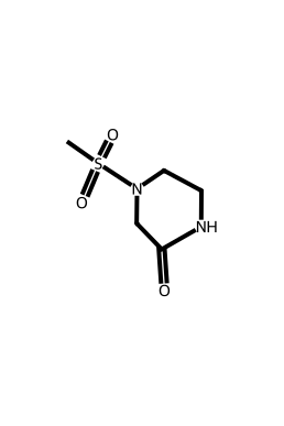 CS(=O)(=O)N1CCNC(=O)C1